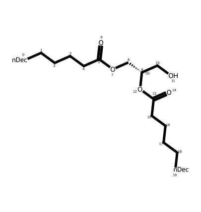 CCCCCCCCCCCCCCC(=O)OC[C@H](CO)OC(=O)CCCCCCCCCCCCCC